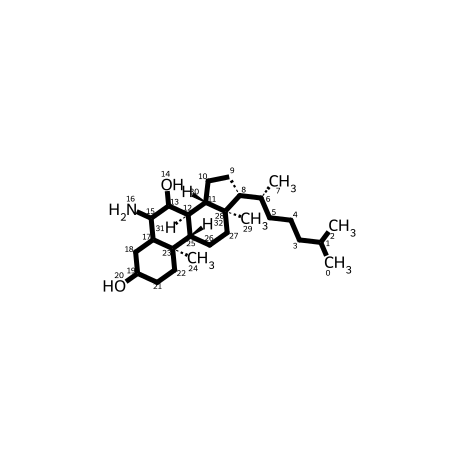 CC(C)CCC[C@@H](C)[C@H]1CC[C@H]2[C@@H]3C(O)C(N)C4CC(O)CC[C@]4(C)[C@H]3CC[C@]12C